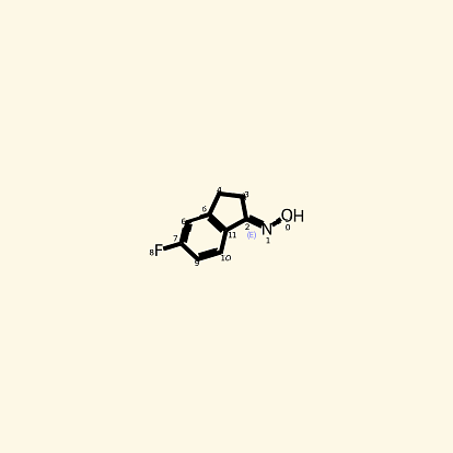 O/N=C1\CCc2cc(F)ccc21